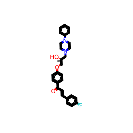 O=C(C=Cc1ccc(F)cc1)c1ccc(OC[C@H](O)CN2CCN(c3ccccc3)CC2)cc1